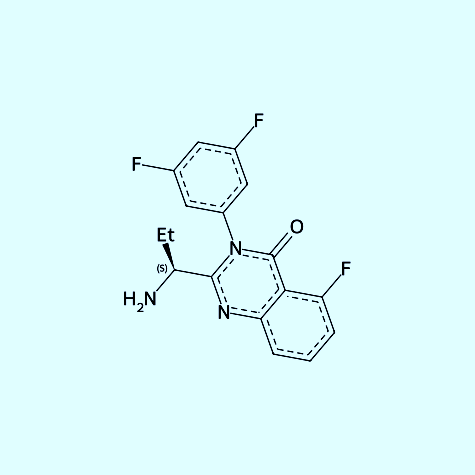 CC[C@H](N)c1nc2cccc(F)c2c(=O)n1-c1cc(F)cc(F)c1